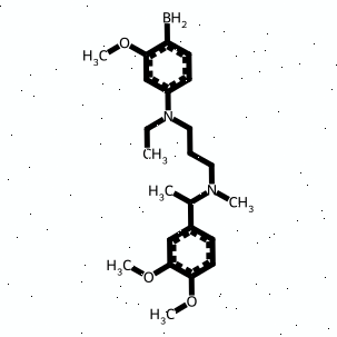 Bc1ccc(N(CC)CCCN(C)C(C)c2ccc(OC)c(OC)c2)cc1OC